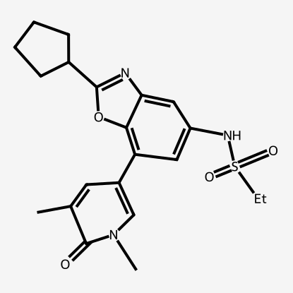 CCS(=O)(=O)Nc1cc(-c2cc(C)c(=O)n(C)c2)c2oc(C3CCCC3)nc2c1